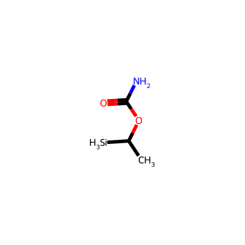 CC([SiH3])OC(N)=O